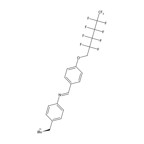 CC[C@H](C)Cc1ccc(N=Cc2ccc(OCC(F)(F)C(F)(F)C(F)(F)C(F)(F)C(F)(F)F)cc2)cc1